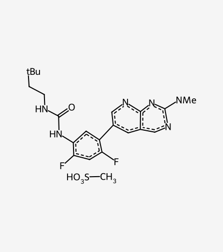 CNc1ncc2cc(-c3cc(NC(=O)NCCC(C)(C)C)c(F)cc3F)cnc2n1.CS(=O)(=O)O